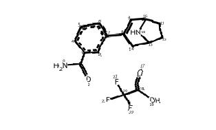 NC(=O)c1cccc(C2=CC3CCC(C2)N3)c1.O=C(O)C(F)(F)F